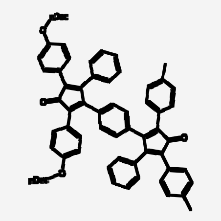 CCCCCCCCCCOc1ccc(C2=C(c3ccccc3)C(c3ccc(C4=C(c5ccc(C)cc5)C(=O)C(c5ccc(C)cc5)=C4c4ccccc4)cc3)=C(c3ccc(OCCCCCCCCCC)cc3)C2=O)cc1